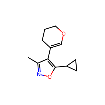 Cc1noc(C2CC2)c1C1=COCCC1